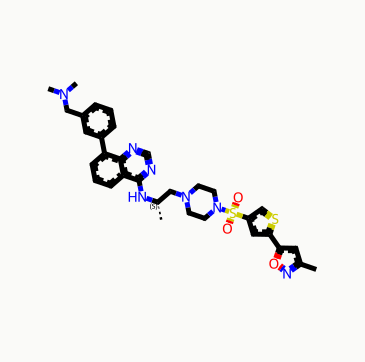 Cc1cc(-c2cc(S(=O)(=O)N3CCN(C[C@H](C)Nc4ncnc5c(-c6cccc(CN(C)C)c6)cccc45)CC3)cs2)on1